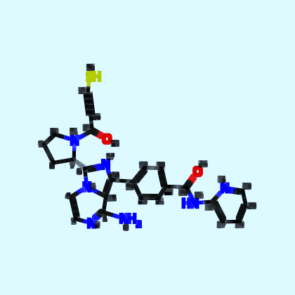 Nc1nccn2c([C@@H]3CCCN3C(=O)C#CS)nc(-c3ccc(C(=O)Nc4ccccn4)cc3)c12